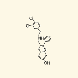 Oc1ccc2cc(CNCCc3ccc(Cl)c(Cl)c3)c(-c3ccsc3)nc2c1